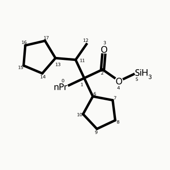 CCCC(C(=O)O[SiH3])(C1CCCC1)C(C)C1CCCC1